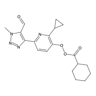 Cn1nnc(-c2ccc(OOC(=O)C3CCCCC3)c(C3CC3)n2)c1C=O